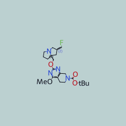 COc1nc(OC[C@@]23CCCN2C/C(=C\F)C3)nc2c1CCN(C(=O)OC(C)(C)C)C2